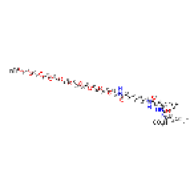 CCCOCCOCCOCCOCCOCCOCCOCCOCCOCCOCCNC(=O)CCCCCCCNC(=O)CC[C@H](NC(=O)N[C@@H](CCC(=O)O)C(=O)O)C(=O)O